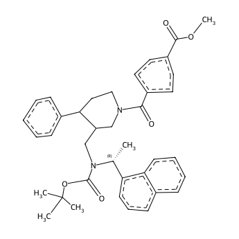 COC(=O)c1ccc(C(=O)N2CCC(c3ccccc3)C(CN(C(=O)OC(C)(C)C)[C@H](C)c3cccc4ccccc34)C2)cc1